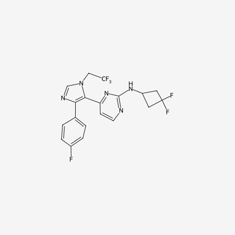 Fc1ccc(-c2ncn(CC(F)(F)F)c2-c2ccnc(NC3CC(F)(F)C3)n2)cc1